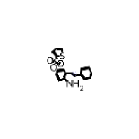 Nc1ccc(OS(=O)(=O)c2cccs2)cc1/C=C/c1ccccc1